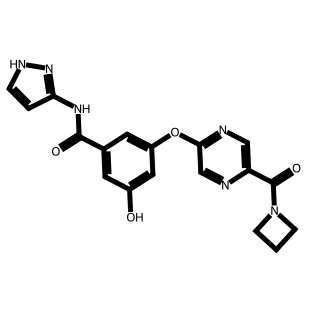 O=C(Nc1cc[nH]n1)c1cc(O)cc(Oc2cnc(C(=O)N3CCC3)cn2)c1